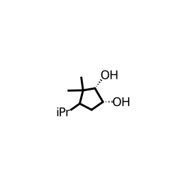 CC(C)C1C[C@@H](O)[C@@H](O)C1(C)C